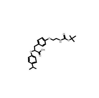 CC(C)c1ccc(OC(Cc2ccc(OCCNC(=O)OC(C)(C)C)cc2)C(=O)O)cc1